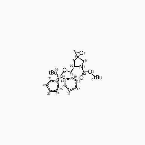 CC(C)(C)OC(=O)N1C[C@]2(CO2)C[C@@H]1CO[Si](c1ccccc1)(c1ccccc1)C(C)(C)C